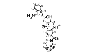 CCN1CCN(CC(O)CCc2ccccc2CN)C(=O)c2ccc(C(=O)N3CCC4(CC4)C(F)(F)C3)cc21